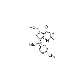 Cc1nc2c(c(CO)nn2[C@@H](c2ccc(C(F)(F)F)cc2)C(C)(C)C)c(=O)[nH]1